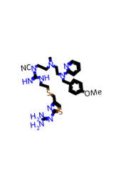 COc1ccc(CN(CCN(C)CCN(C#N)C(=N)NCCSCc2csc(N=C(N)N)n2)c2ccccn2)cc1